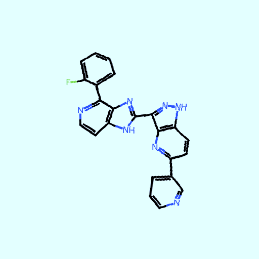 Fc1ccccc1-c1nccc2[nH]c(-c3n[nH]c4ccc(-c5cccnc5)nc34)nc12